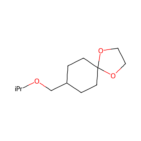 CC(C)OCC1CCC2(CC1)OCCO2